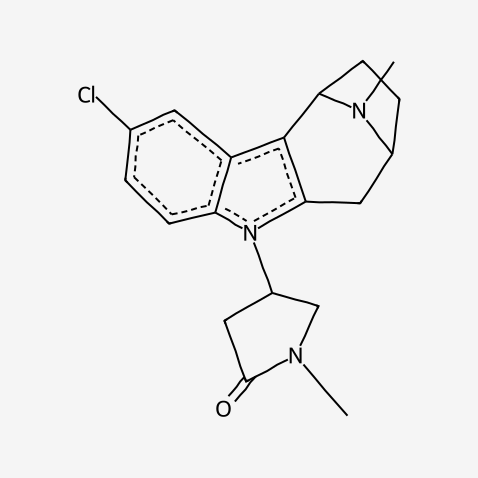 CN1CC(n2c3c(c4cc(Cl)ccc42)C2CCC(C3)N2C)CC1=O